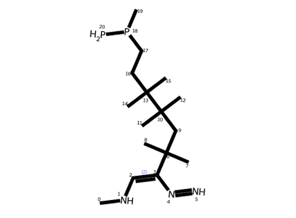 CN/C=C(\N=N)C(C)(C)CC(C)(C)C(C)(C)CCP(C)P